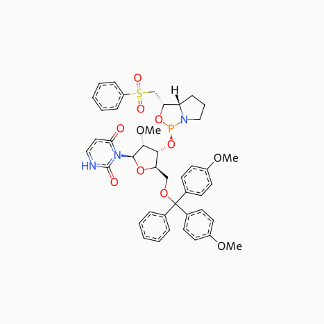 COc1ccc(C(OC[C@H]2O[C@@H](n3c(=O)cc[nH]c3=O)[C@H](OC)[C@@H]2O[P@@]2O[C@H](CS(=O)(=O)c3ccccc3)[C@@H]3CCCN32)(c2ccccc2)c2ccc(OC)cc2)cc1